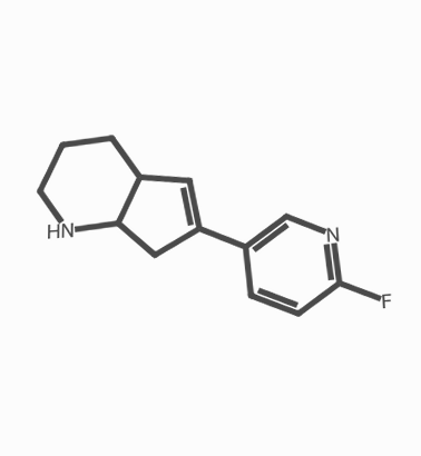 Fc1ccc(C2=CC3CCCNC3C2)cn1